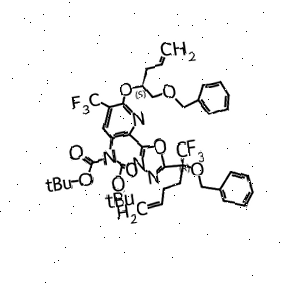 C=CCC[C@@](OCc1ccccc1)(c1nnc(-c2nc(O[C@@H](CC=C)COCc3ccccc3)c(C(F)(F)F)cc2N(C(=O)OC(C)(C)C)C(=O)OC(C)(C)C)o1)C(F)(F)F